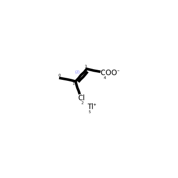 C/C(Cl)=C/C(=O)[O-].[Tl+]